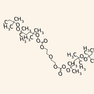 CCC(C)(C)OOC(C)(C)CCC(C)(C)OOC(=O)OCCOCCOC(=O)OOC(C)(C)CCC(C)(C)OOC(C)(C)CC